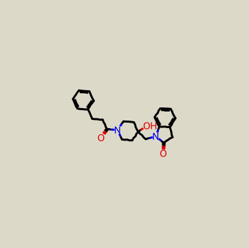 O=C(CCc1ccccc1)N1CCC(O)(CN2C(=O)Cc3ccccc32)CC1